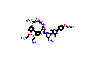 CCCCCCOc1ccc(-c2nc(C)c(C(=O)N[C@@H](CCN)C(=O)N(C)C3C(=O)N[C@@H](C)C(=O)NC(C(=O)O)Cc4ccc(OCCN)c(c4)-c4cc3ccc4OCCN)c(C)n2)cc1